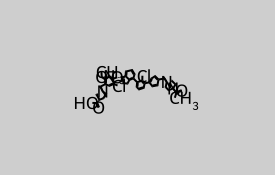 COc1nc(O[C@H]2CCc3c(-c4cccc(-c5ccc(CN6CCN(C(C)=O)CC6)cc5)c4Cl)cccc32)c(Cl)cc1CN1CC[C@@H](C(=O)O)C1